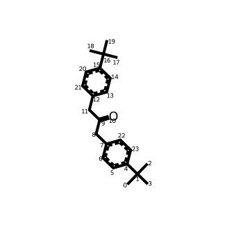 CC(C)(C)c1ccc(CC(=O)Cc2ccc(C(C)(C)C)cc2)cc1